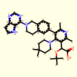 Cc1nc(C)c(C(OC(C)(C)C)C(=O)O)c(N2CCC(C)(C)CC2)c1-c1ccc2c(c1)CCN(c1ncnc3cc[nH]c13)C2